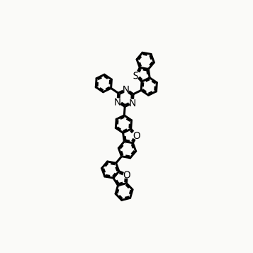 c1ccc(-c2nc(-c3ccc4c(c3)oc3ccc(-c5cccc6c5oc5ccccc56)cc34)nc(-c3cccc4c3sc3ccccc34)n2)cc1